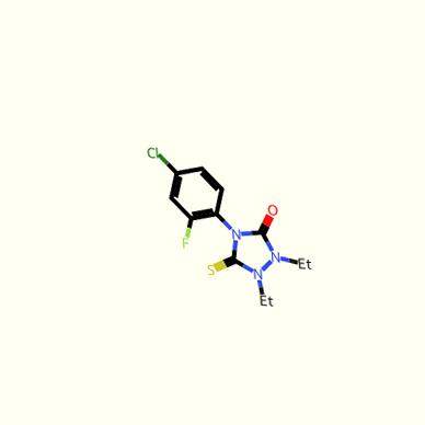 CCn1c(=O)n(-c2ccc(Cl)cc2F)c(=S)n1CC